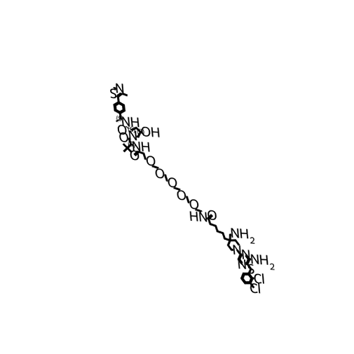 Cc1ncsc1-c1ccc([C@H](C)NC(=O)[C@@H]2C[C@@H](O)CN2C(=O)[C@@H](NC(=O)CCOCCOCCOCCOCCOCCNC(=O)CCCCCC2(CN)CCN(c3cnc(Sc4cccc(Cl)c4Cl)c(N)n3)CC2)C(C)(C)C)cc1